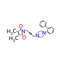 CC1=C(C)C(=O)N(CC#CCN2CCN(c3ccccc3-c3ccccc3)CC2)C1=O